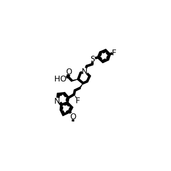 COc1ccc2nccc([C@@H](F)CC[C@@H]3CCN(CCSc4ccc(F)cc4)C[C@@H]3CC(=O)O)c2c1